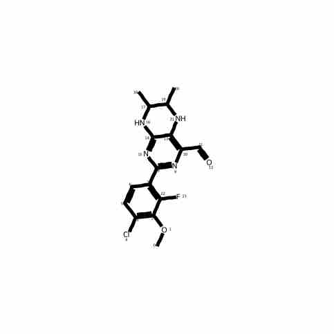 COc1c(Cl)ccc(-c2nc(C=O)c3c(n2)NC(C)C(C)N3)c1F